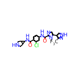 Cn1c(-c2c[nH]nc2C(F)(F)F)cnc1C(=O)Nc1ccc(C(=O)NC2C3CNCC32)c(Cl)c1